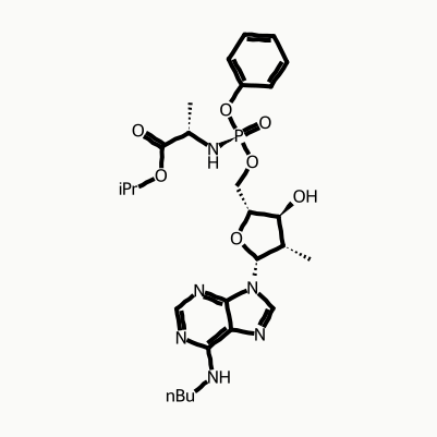 CCCCNc1ncnc2c1ncn2[C@@H]1O[C@H](CO[P@](=O)(N[C@@H](C)C(=O)OC(C)C)Oc2ccccc2)[C@@H](O)[C@@H]1C